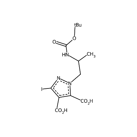 CC(Cn1nc(I)c(C(=O)O)c1C(=O)O)NC(=O)OC(C)(C)C